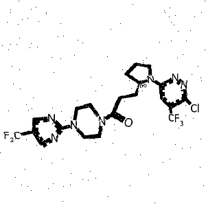 O=C(CC[C@H]1CCCN1c1cc(C(F)(F)F)c(Cl)nn1)N1CCN(c2ncc(C(F)(F)F)cn2)CC1